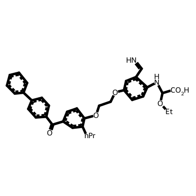 CCCc1cc(C(=O)c2ccc(-c3ccccc3)cc2)ccc1OCCOc1ccc(NC(OCC)C(=O)O)c(C=N)c1